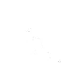 CC(C)CCC(O)CC(C)C=O